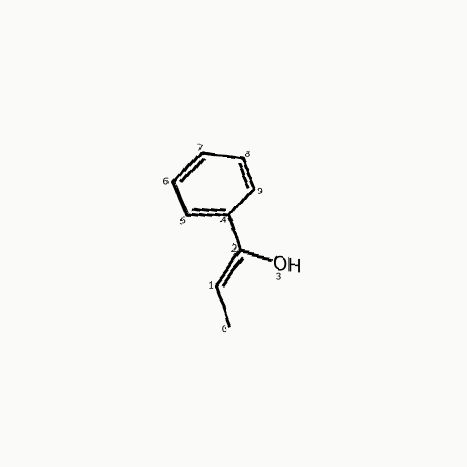 CC=C(O)c1ccccc1